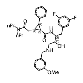 CCCN(CCC)C(=O)C[C@H]1[C@H](C(=O)N[C@@H](Cc2cc(F)cc(F)c2)[C@@H](O)CNCc2cccc(OC)c2)[C@@H]1c1ccccc1